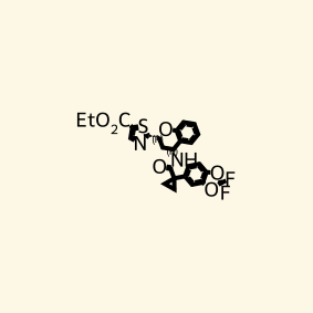 CCOC(=O)c1cnc([C@H]2C[C@@H](NC(=O)C3(c4ccc5c(c4)OC(F)(F)O5)CC3)c3ccccc3O2)s1